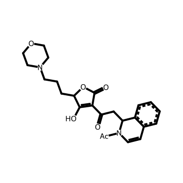 CC(=O)N1C=Cc2ccccc2C1CC(=O)C1=C(O)C(CCCN2CCOCC2)OC1=O